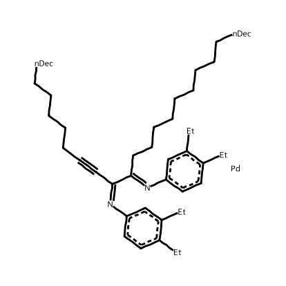 CCCCCCCCCCCCCCCC#CC(=Nc1ccc(CC)c(CC)c1)C(CCCCCCCCCCCCCCCCCCC)=Nc1ccc(CC)c(CC)c1.[Pd]